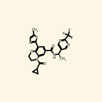 Cc1cnc(-c2cc(C(=O)N[C@H](C)c3cnc(C(F)(F)F)nc3)cc3c2OCCN3C(=O)C2CC2)s1